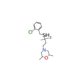 CC1CN(CCC(C)(C)[SiH2]Cc2ccccc2Cl)CC(C)O1